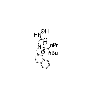 CCCCC(CCC)S(=O)(=O)N(CC(=O)NO)Cc1ccc2ccccc2c1